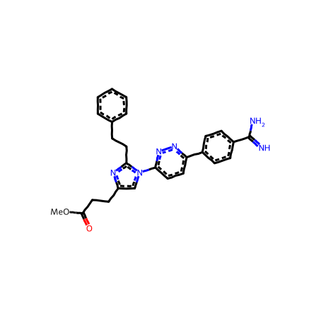 COC(=O)CCc1cn(-c2ccc(-c3ccc(C(=N)N)cc3)nn2)c(CCc2ccccc2)n1